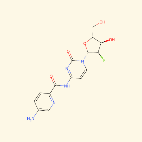 Nc1ccc(C(=O)Nc2ccn([C@@H]3O[C@H](CO)[C@@H](O)[C@H]3F)c(=O)n2)nc1